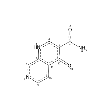 NC(=O)c1c[nH]c2cnccc2c1=O